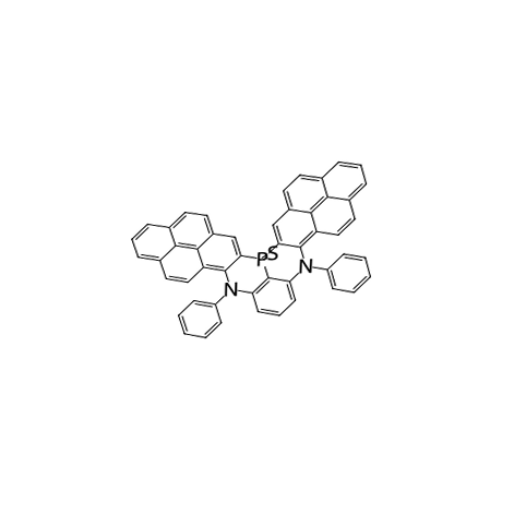 S=P12c3cc4ccc5cccc6ccc(c3N(c3ccccc3)c3cccc(c31)N(c1ccccc1)c1c2cc2ccc3cccc7ccc1c2c37)c4c56